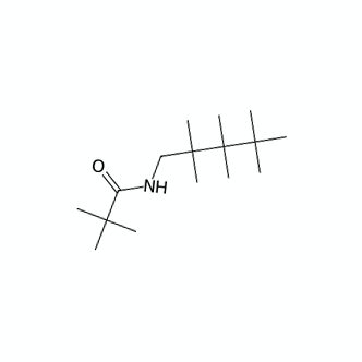 CC(C)(C)C(=O)NCC(C)(C)C(C)(C)C(C)(C)C